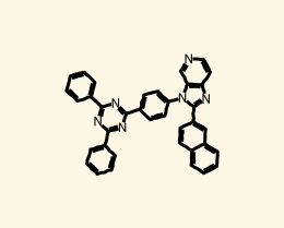 c1ccc(-c2nc(-c3ccccc3)nc(-c3ccc(-n4c(-c5ccc6ccccc6c5)nc5ccncc54)cc3)n2)cc1